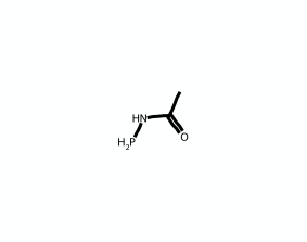 CC(=O)NP